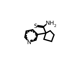 NC(=S)C1(c2cccnc2)CCCC1